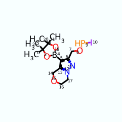 CC1(C)OB(c2c(COPI)nn3c2COCC3)OC1(C)C